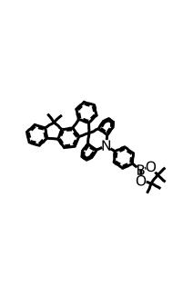 CC1(C)c2ccccc2-c2ccc3c(c21)-c1ccccc1C31c2ccccc2N(c2ccc(B3OC(C)(C)C(C)(C)O3)cc2)c2ccccc21